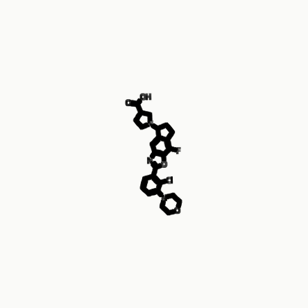 O=C(O)C1CCN(C2CCc3c2cc2nc(-c4cccc(N5CCOCC5)c4Cl)oc2c3F)C1